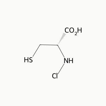 O=C(O)[C@@H](CS)NCl